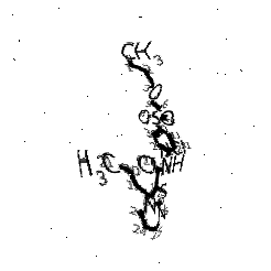 CCCCOCCS(=O)(=O)c1ccc(NC(=O)C2=C(CCC)N3CCCN=C3S2)cc1.Cl